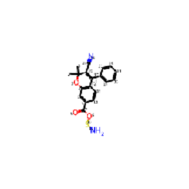 CC1(C)Oc2cc(C(=O)OSN)ccc2C(c2ccccc2)=C1C#N